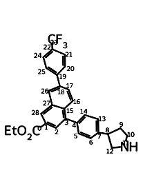 CCOC(=O)c1cc(-c2ccc(C3CCNC3)cc2)c2ccc(-c3ccc(C(F)(F)F)cc3)cc2c1